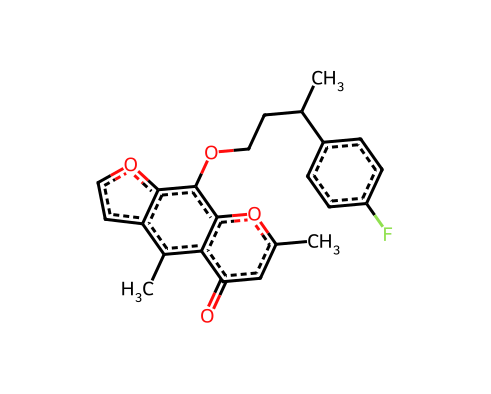 Cc1cc(=O)c2c(C)c3ccoc3c(OCCC(C)c3ccc(F)cc3)c2o1